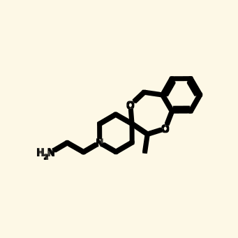 CC1Oc2ccccc2COC12CCN(CCN)CC2